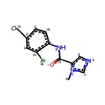 Cn1cncc1C(=O)Nc1ccc(Cl)cc1Br